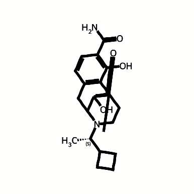 C[C@@H](C1CCC1)N1CCC23CC(=O)CCC2(O)C1Cc1ccc(C(N)=O)c(O)c13